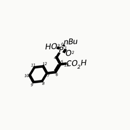 CCCCP(=O)(O)C/C(=C\C1CCCCC1)C(=O)O